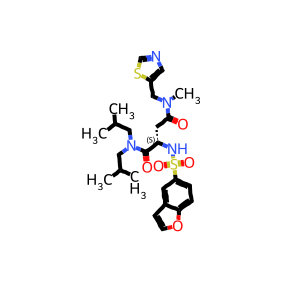 CC(C)CN(CC(C)C)C(=O)[C@H](CC(=O)N(C)Cc1cncs1)NS(=O)(=O)c1ccc2occc2c1